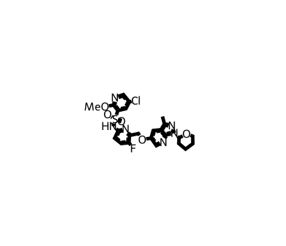 COc1ncc(Cl)cc1S(=O)(=O)Nc1ccc(F)c(COc2cnc3c(c2)c(C)nn3C2CCCCO2)n1